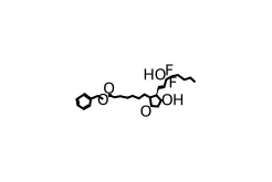 CCCCC(F)(F)C(O)/C=C/[C@@H]1C(CCCCCCC(=O)OCc2ccccc2)C(=O)C[C@H]1O